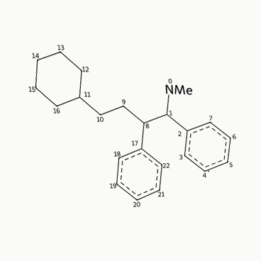 CNC(c1c[c]ccc1)C(CCC1CCCCC1)c1ccccc1